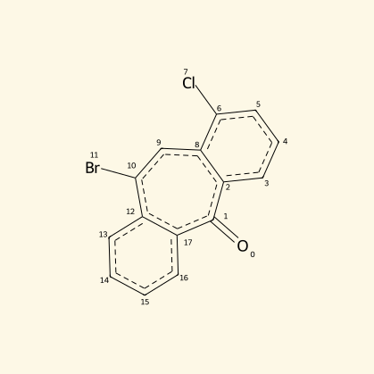 O=c1c2cccc(Cl)c2cc(Br)c2ccccc12